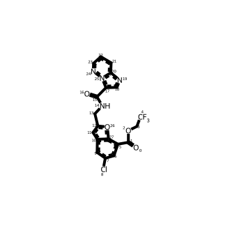 O=C(OCC(F)(F)F)c1cc(Cl)cc2cc(CNC(=O)c3cnc4cccnn34)oc12